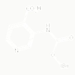 CC(C)(C)OC(=O)Nc1cnccc1C(=O)O